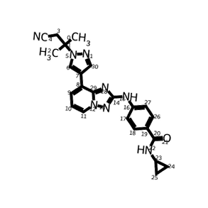 CC(C)(CC#N)n1cc(-c2cccn3nc(Nc4ccc(C(=O)NC5CC5)cc4)nc23)cn1